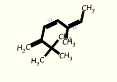 C=C(/C=C\C(C)=C/C)C(C)(C)C